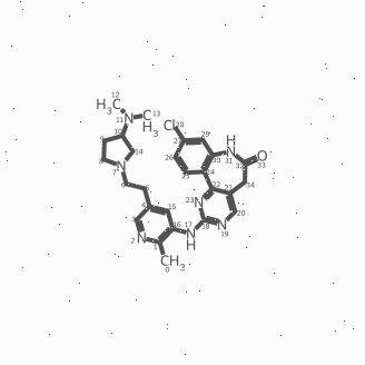 Cc1ncc(CCN2CCC(N(C)C)C2)cc1Nc1ncc2c(n1)-c1ccc(Cl)cc1NC(=O)C2